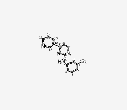 CCc1cccc(Nc2nccc(-c3cccnc3)n2)c1